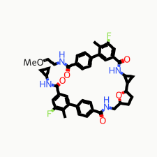 COCCNC(=O)c1ccc(-c2cc(C(=O)NC3CC3C3CCC(CNC(=O)c4ccc(-c5cc(C(=O)NC6CC6)cc(F)c5C)cc4)O3)cc(F)c2C)cc1